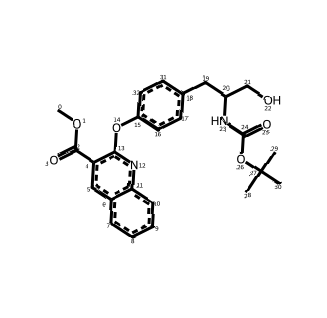 COC(=O)c1cc2ccccc2nc1Oc1ccc(CC(CO)NC(=O)OC(C)(C)C)cc1